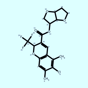 Cc1cc2c(c(C)c1Cl)C=C(C(=O)OC1COC3CCOC31)C(C(F)(F)F)O2